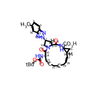 Cc1ccc2nn([C@H]3C[C@H]4C(=O)N[C@]5(C(=O)O)C[C@H]5/C=C\CCCCC[C@H](NC(=O)OC(C)(C)C)C(=O)N4C3)nc2c1